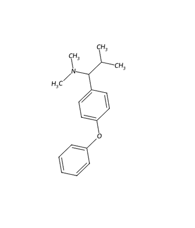 CC(C)C(c1ccc(Oc2ccccc2)cc1)N(C)C